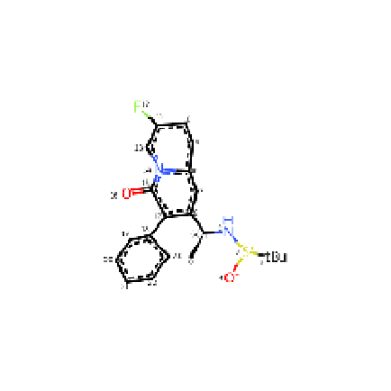 C[C@H](N[S+]([O-])C(C)(C)C)c1cc2ccc(F)cn2c(=O)c1-c1ccccc1